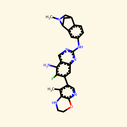 Cc1c(-c2cc3nc(Nc4ccc5c(c4)C4CC5CN4C)ncc3c(N)c2F)cnc2c1NCCO2